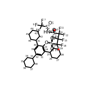 O=S(=O)(N[S+]([O-])C(F)(F)F)C(F)(F)C(F)(F)C(F)(F)S(=O)(=O)Oc1c(C2CCCCC2)cc(C2CCCCC2)cc1C1CCCCC1